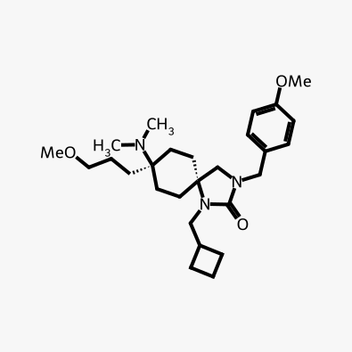 COCCC[C@]1(N(C)C)CC[C@]2(CC1)CN(Cc1ccc(OC)cc1)C(=O)N2CC1CCC1